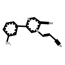 Cc1cccc(-c2cn(/C=C/C#N)c(=N)cn2)c1